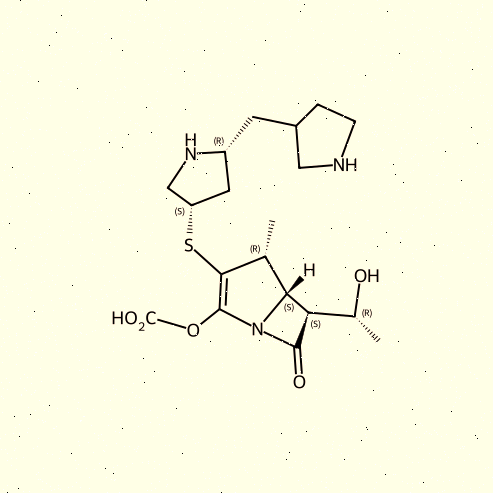 C[C@@H](O)[C@H]1C(=O)N2C(OC(=O)O)=C(S[C@@H]3CN[C@H](CC4CCNC4)C3)[C@H](C)[C@H]12